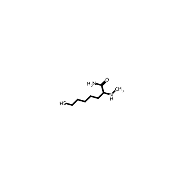 CNC(CCCCCS)C(N)=O